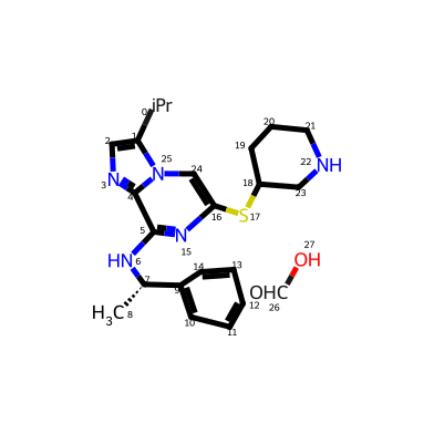 CC(C)c1cnc2c(N[C@@H](C)c3ccccc3)nc(SC3CCCNC3)cn12.O=CO